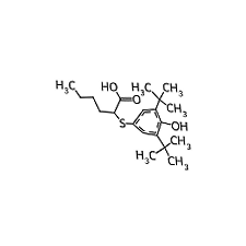 CCCCC(Sc1cc(C(C)(C)C)c(O)c(C(C)(C)C)c1)C(=O)O